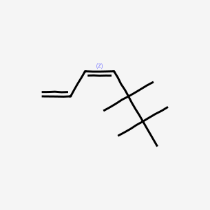 C=C/C=C\C(C)(C)C(C)(C)C